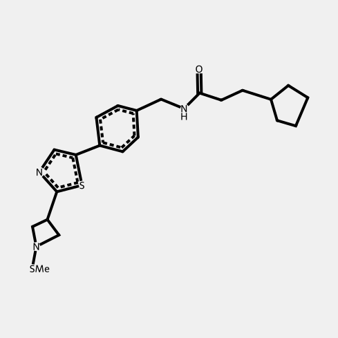 CSN1CC(c2ncc(-c3ccc(CNC(=O)CCC4CCCC4)cc3)s2)C1